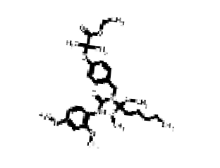 CCCCCC(OC)(OC)N(Cc1ccc(OC(C)(C)C(=O)OCC)cc1)C(=O)Nc1ccc(OC)cc1OC